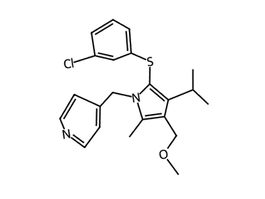 COCc1c(C(C)C)c(Sc2cccc(Cl)c2)n(Cc2ccncc2)c1C